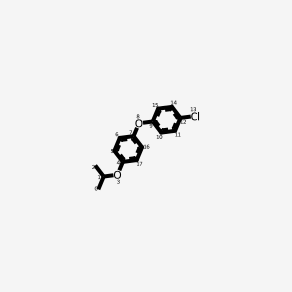 CC(C)Oc1ccc(Oc2ccc(Cl)cc2)cc1